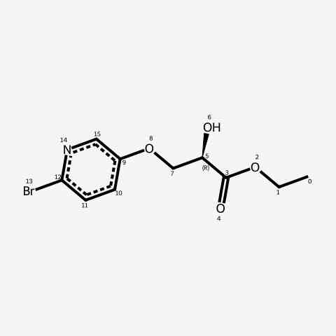 CCOC(=O)[C@H](O)COc1ccc(Br)nc1